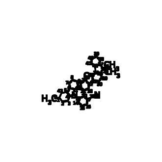 CC1C=Cc2c(c3ccccc3n2-c2cccc(C#N)c2-c2ccc3oc4c5c(ccc4c3c2)C(C)(C)c2ccccc2-5)C1